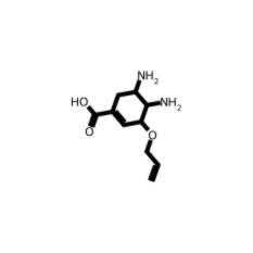 C=CCOC1C=C(C(=O)O)CC(N)C1N